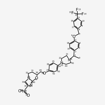 CC(c1ccc(OCc2ccc(C(F)(F)F)cc2)cc1)N1CCN(c2ccc(OCC3CCn4cc([N+](=O)[O-])nc4O3)cc2)CC1